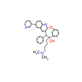 CN(C)CCCCC1(O)c2cccc(c2)Oc2nc3ccc(-c4cccnc4)cc3cc2C1c1ccccc1